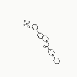 O=C(CN1CCc2cc(-c3cccc(OC(F)(F)F)c3)ccc2C1)N1CCN(C2CCCCC2)CC1